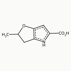 CC1Cc2[nH]c(C(=O)O)cc2O1